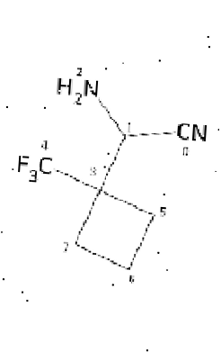 N#CC(N)C1(C(F)(F)F)CCC1